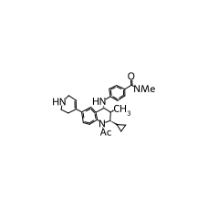 CNC(=O)c1ccc(N[C@H]2c3cc(C4=CCNCC4)ccc3N(C(C)=O)[C@H](C3CC3)[C@@H]2C)cc1